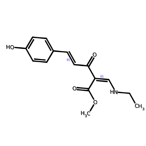 CCN/C=C(/C(=O)/C=C/c1ccc(O)cc1)C(=O)OC